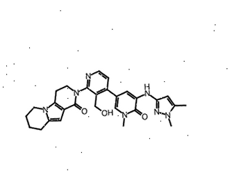 Cc1cc(Nc2cc(-c3ccnc(N4CCc5c(cc6n5CCCC6)C4=O)c3CO)cn(C)c2=O)nn1C